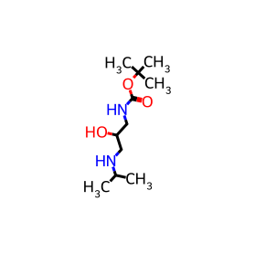 CC(C)NCC(O)CNC(=O)OC(C)(C)C